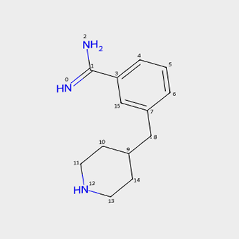 N=C(N)c1cccc([CH]C2CCNCC2)c1